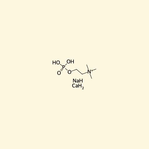 C[N+](C)(C)CCOP(=O)(O)O.[CaH2].[NaH]